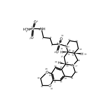 NS(=O)(=O)NCCCS(=O)(=O)N1CCC[C@@H]2CN3CCc4cc5c(cc4[C@@H]3C[C@@H]21)OCCO5